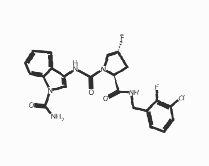 NC(=O)n1cc(NC(=O)N2C[C@H](F)C[C@H]2C(=O)NCc2cccc(Cl)c2F)c2ccccc21